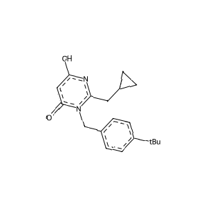 CC(C)(C)c1ccc(Cn2c(CC3CC3)nc(O)cc2=O)cc1